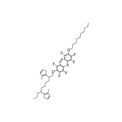 CCCCCCCCCCOc1c(F)c(F)[c]([Ti][c]2c(F)c(F)c(OCC(CCCCC(CCC)C3=C(C)C=CC3)C3=C(C)C=CC3)c(F)c2F)c(F)c1F